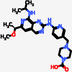 CO[C@H](C)c1cc2cnc(Nc3ccc(CN4CCN(C(=O)O)CC4)cn3)nc2c(NC(C)C)n1